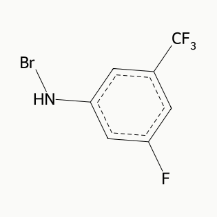 Fc1cc(NBr)cc(C(F)(F)F)c1